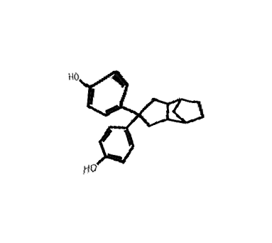 Oc1ccc(C2(c3ccc(O)cc3)CC3C4CCC(C4)C3C2)cc1